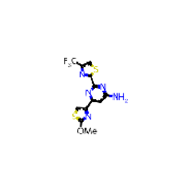 COc1nc(-c2cc(N)nc(-c3nc(C(F)(F)F)cs3)n2)cs1